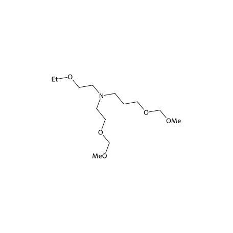 CCOCCN(CCCOCOC)CCOCOC